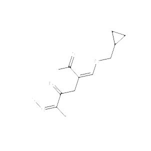 CC(=N)/C(=C\NCC1CC1)CC(=N)/C(I)=N\N